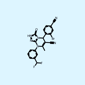 CC1=C(C#N)C(c2ccc(C#N)cc2Br)n2c(n[nH]c2=O)N1c1cccc(C(F)F)c1